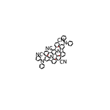 N#Cc1ccc(-c2c(C#N)c(-c3ccc(C#N)cc3)c(-n3c4ccccc4c4cc(N(c5ccccc5)c5ccccc5)ccc43)c(-c3ccc(C#N)cc3)c2-n2c3ccccc3c3cc(N(c4ccccc4)c4ccccc4)ccc32)cc1